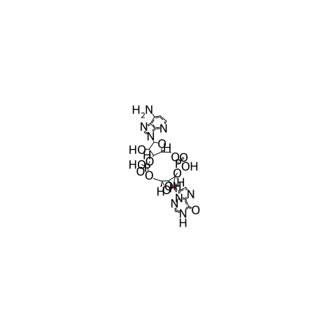 Nc1ccnc2c1ncn2[C@@H]1O[C@@H]2COP(=O)(O)O[C@@H]3[C@H](O)[C@@H](COP(=O)(O)O[C@H]2[C@H]1O)O[C@H]3c1cnc2c(=O)[nH]cnn12